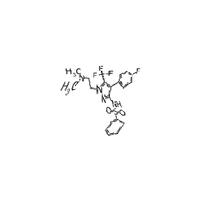 CN(C)CCn1nc(NS(=O)(=O)c2ccccc2)c(-c2ccc(F)cc2)c1C(F)(F)F